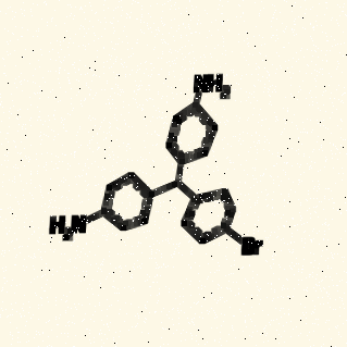 Nc1ccc(C(c2ccc(N)cc2)c2ccc(Br)cc2)cc1